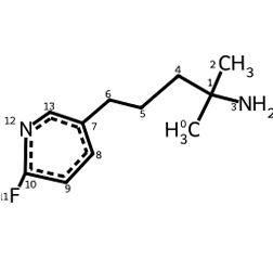 CC(C)(N)CCCc1ccc(F)nc1